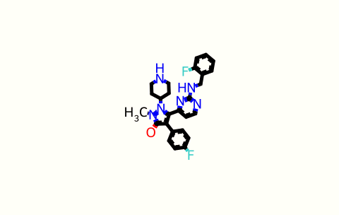 Cn1c(=O)c(-c2ccc(F)cc2)c(-c2ccnc(NCc3ccccc3F)n2)n1C1CCNCC1